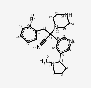 CN1CCCC1c1cncc(C(C#N)(Cc2ccccc2Br)N2CCNCC2)c1